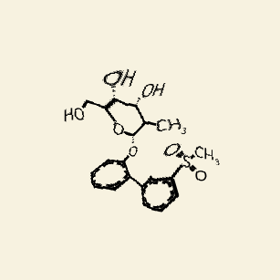 CC1[C@H](Oc2ccccc2-c2cccc(S(C)(=O)=O)c2)OC(CO)[C@H](O)[C@@H]1O